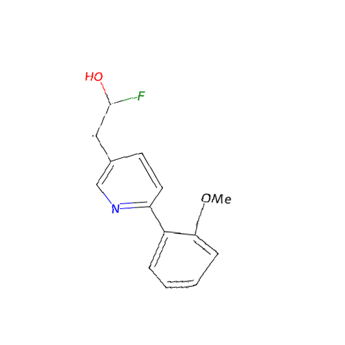 COc1ccccc1-c1ccc([CH]C(O)F)cn1